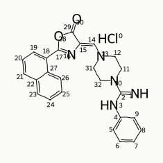 Cl.N=C(Nc1ccccc1)N1CCN(C=C2N=C(c3cccc4ccccc34)OC2=O)CC1